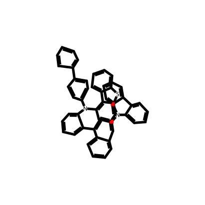 c1ccc(-c2ccc(N(c3ccccc3-c3cc(-n4c5ccccc5c5ccccc54)cc4ccccc34)c3cccc4sc5ccccc5c34)cc2)cc1